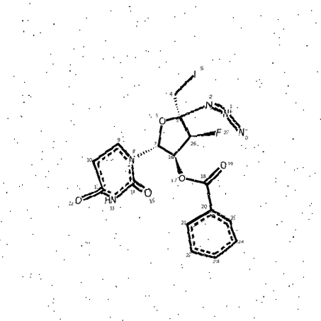 [N-]=[N+]=N[C@]1(CI)O[C@@H](n2ccc(=O)[nH]c2=O)[C@H](OC(=O)c2ccccc2)[C@@H]1F